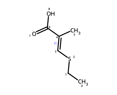 CCS/C=C(\C)C(=O)O